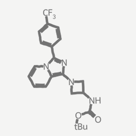 CC(C)(C)OC(=O)NC1CN(c2nc(-c3ccc(C(F)(F)F)cc3)n3ccccc23)C1